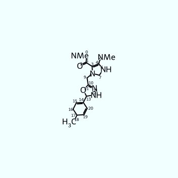 CNC(=O)C1=C(NC)NCN1CC1=NNC(C2=CCC(C)C=C2)O1